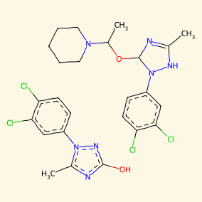 CC1=NC(OC(C)N2CCCCC2)N(c2ccc(Cl)c(Cl)c2)N1.Cc1nc(O)nn1-c1ccc(Cl)c(Cl)c1